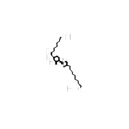 CCCCCCCCCCc1cnc(-c2ccc(/C(F)=C(/F)CCCCCCC)c(F)c2F)nc1